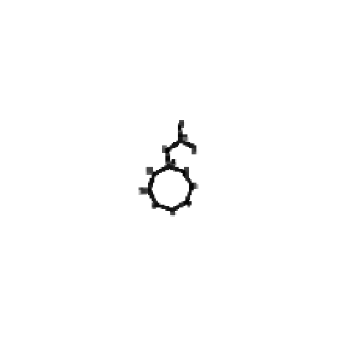 CC(C)CC1[CH]CCCCCC1